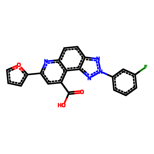 O=C(O)c1cc(-c2ccco2)nc2ccc3nn(-c4cccc(F)c4)nc3c12